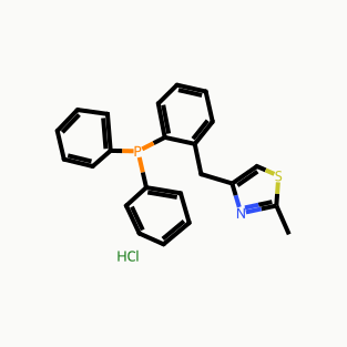 Cc1nc(Cc2ccccc2P(c2ccccc2)c2ccccc2)cs1.Cl